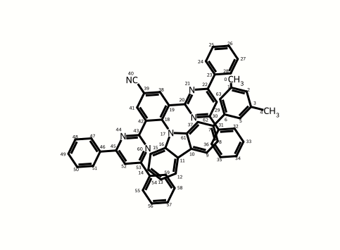 Cc1cc(C)cc(-c2ccc3c4ccccc4n(-c4c(-c5nc(-c6ccccc6)cc(-c6ccccc6)n5)cc(C#N)cc4-c4nc(-c5ccccc5)cc(-c5ccccc5)n4)c3c2)c1